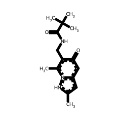 Cc1cc2cc(=O)c(CNC(=O)C(C)(C)C)c(C)n2[nH]1